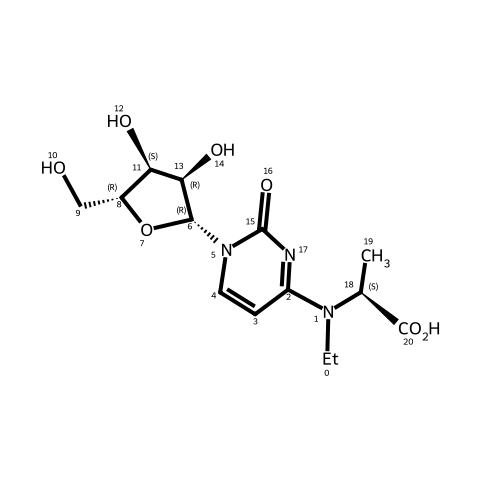 CCN(c1ccn([C@@H]2O[C@H](CO)[C@@H](O)[C@H]2O)c(=O)n1)[C@@H](C)C(=O)O